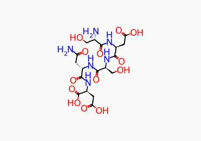 NC(=O)C[C@H](NC(=O)[C@H](CO)NC(=O)[C@H](CC(=O)O)NC(=O)[C@@H](N)CO)C(=O)N[C@@H](CC(=O)O)C(=O)O